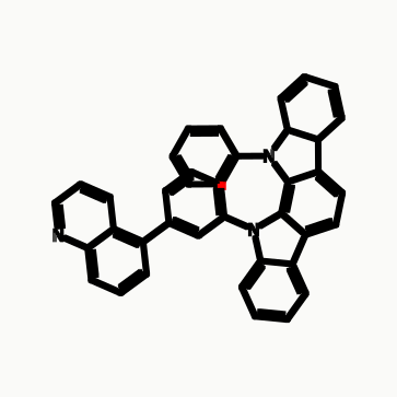 C1=CC2c3ccc4c5ccccc5n(-c5cccc(-c6cccc7ncccc67)c5)c4c3N(c3ccccc3)C2C=C1